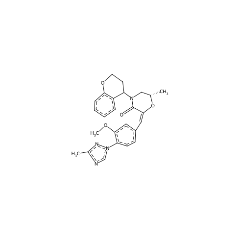 COc1cc(C=C2O[C@@H](C)CN(C3CCOc4ccccc43)C2=O)ccc1-n1cnc(C)n1